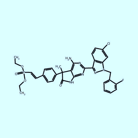 CCOP(=O)(/C=C/c1ccc(C2(C)C(=O)Nc3nc(-c4nn(Cc5ccccc5F)c5cc(Cl)ccc45)nc(N)c32)cc1)OCC